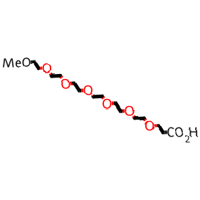 COCCOCCOCCOCCOCCOCCOCCC(=O)O